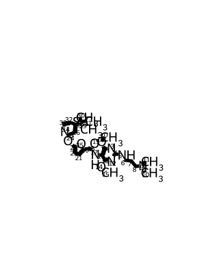 COc1nc(NCCCN(C)C)nc(OC)c1NC(=O)c1ccc(Oc2cc([Si](C)(C)C)ccn2)o1